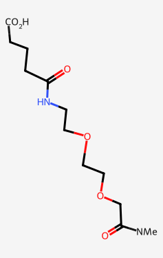 CNC(=O)COCCOCCNC(=O)CCCC(=O)O